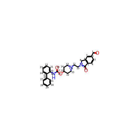 O=Cc1ccc2c(c1)CN(CCN1CCC(OC(=O)Nc3ccccc3-c3ccccc3)CC1)C2=O